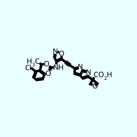 CC(OC(=O)Nc1cnoc1C#CC1=NC2=NC(C3(C(=O)O)COC3)=CC2=C1)c1ccccc1Cl